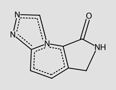 O=C1NCc2ccc3nncn3c21